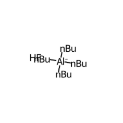 CCC[CH2][Al-]([CH2]CCC)([CH2]CCC)[CH2]CCC.F